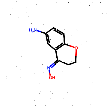 Nc1ccc2c(c1)C(=NO)CCO2